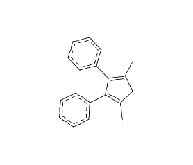 CC1=C(c2ccccc2)C(c2ccccc2)=C(C)C1